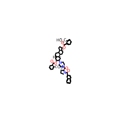 C[C@]12CCC3C(CC[C@H]4C[C@H](OC(=O)c5ccccc5C(=O)O)[C@@H](N5CCN(C(=O)[C@@H]6CCCN6C(=O)c6ccc7ccccc7c6)CC5)C[C@]34C)C1CC[C@@H]2OC(=O)c1ccccc1C(=O)O